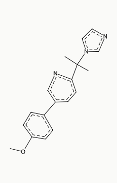 COc1ccc(-c2ccc(C(C)(C)n3ccnc3)nc2)cc1